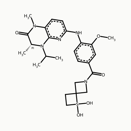 COc1cc(C(=O)N2CC3(CCS3(O)O)C2)ccc1Nc1ccc2c(n1)N(C(C)C)[C@H](C)C(=O)N2C